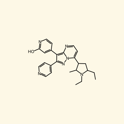 CCC1CC(c2ccnc3c(-c4ccnc(O)c4)c(-c4ccncc4)nn23)C(C)N1CC